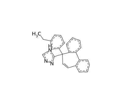 CCc1cccc(C2(c3nnc[nH]3)C=Cc3ccccc3-c3ccccc32)c1